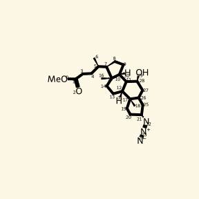 COC(=O)CC[C@@H](C)[C@H]1CC[C@@H]2C3[C@@H](CC[C@@]21C)[C@@]1(C)CC[C@@H](N=[N+]=[N-])CC1C[C@@H]3O